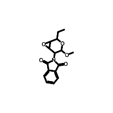 CCC1OC(OC)C(N2C(=O)c3ccccc3C2=O)C2OC12